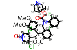 COc1ccc([C@H](Cc2c(Cl)c[n+]([O-])cc2Cl)c2c(C(=O)O)ccc(F)c2CN(C(=O)O[C@H]2CN3CCC2CC3)c2ccccc2F)cc1OC